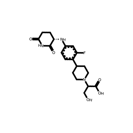 O=C1CC[C@H](Nc2ccc(C3CCN(C(CO)C(=O)O)CC3)c(F)c2)C(=O)N1